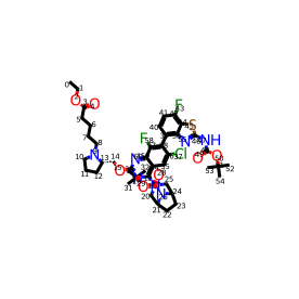 CCOC(=O)CCCCN1CCC[C@H]1COc1nc(N2CC3CCC(C2)N3C(=O)OC(C)(C)C)c2cc(Cl)c(-c3ccc(F)c4sc(NC(=O)OC(C)(C)C)nc34)c(F)c2n1